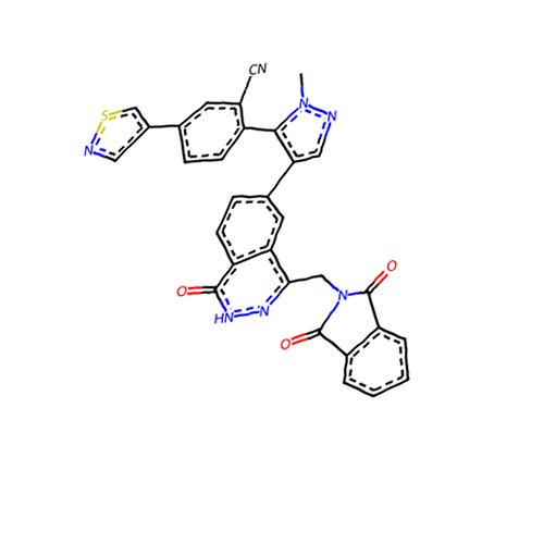 Cn1ncc(-c2ccc3c(=O)[nH]nc(CN4C(=O)c5ccccc5C4=O)c3c2)c1-c1ccc(-c2cnsc2)cc1C#N